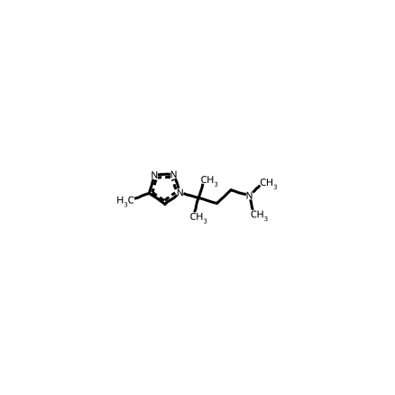 Cc1cn(C(C)(C)CCN(C)C)nn1